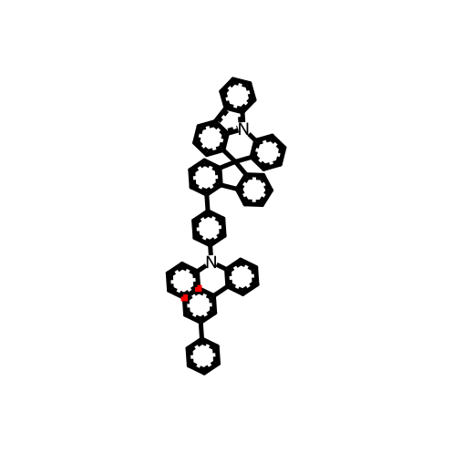 c1ccc(-c2cccc(-c3ccccc3N(c3ccccc3)c3ccc(-c4cccc5c4-c4ccccc4C54c5ccccc5-n5c6ccccc6c6cccc4c65)cc3)c2)cc1